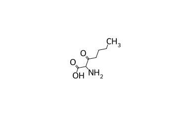 CCCCC(=O)C(N)C(=O)O